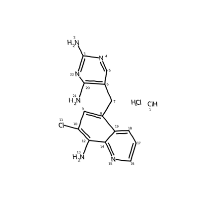 Cl.Cl.Nc1ncc(Cc2cc(Cl)c(N)c3ncccc23)c(N)n1